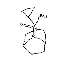 CC(C)(C)C(=O)N1C2CCC1CN(C1CC1)C2